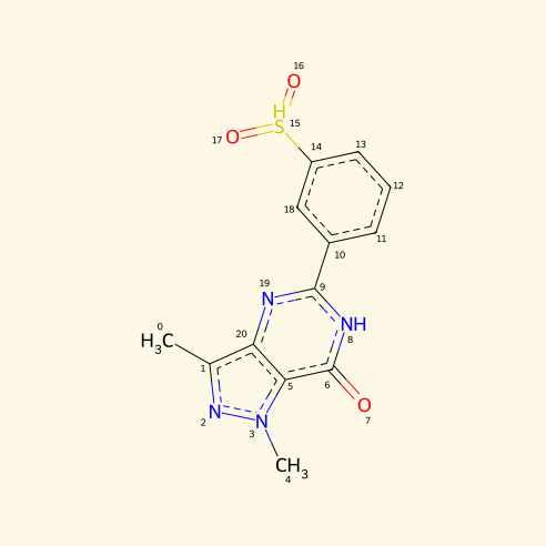 Cc1nn(C)c2c(=O)[nH]c(-c3cccc([SH](=O)=O)c3)nc12